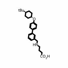 CC(C)(C)[C@H]1CC[C@H](Oc2ccc(-c3cccc(CNCCCC(=O)O)c3)cc2)CC1